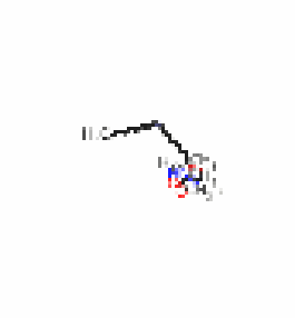 CCCCCCCC/C=C\CCCCCCC(C)(C)C(=O)NC(C(=O)[O-])[N+](C)(C)C